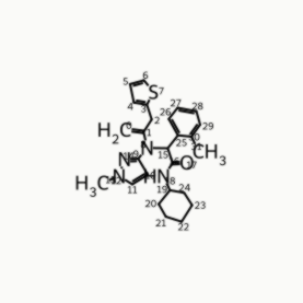 C=C(Cc1cccs1)N(c1ccn(C)n1)C(C(=O)NC1CCCCC1)c1ccccc1C